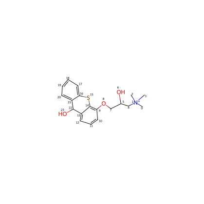 C[N+](C)(C)CC(O)COc1cccc2c1Sc1ccccc1C2O